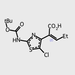 CC/C=C(\C(=O)O)c1nc(NC(=O)OC(C)(C)C)sc1Cl